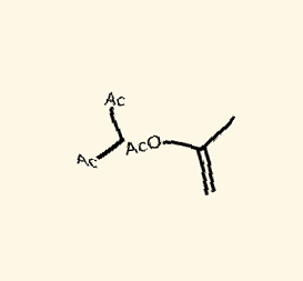 C=C(C)OC(C)=O.CC(=O)CC(C)=O